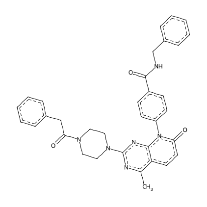 Cc1nc(N2CCN(C(=O)Cc3ccccc3)CC2)nc2c1ccc(=O)n2-c1ccc(C(=O)NCc2ccccc2)cc1